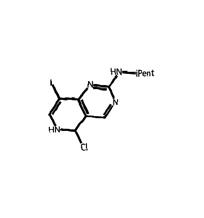 CCCC(C)Nc1ncc2c(n1)C(I)=CNC2Cl